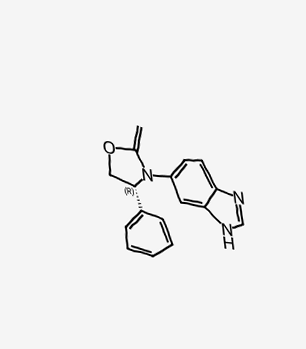 C=C1OC[C@@H](c2ccccc2)N1c1ccc2nc[nH]c2c1